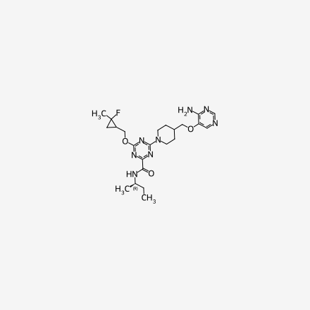 CC[C@@H](C)NC(=O)c1nc(OCC2CC2(C)F)nc(N2CCC(COc3cncnc3N)CC2)n1